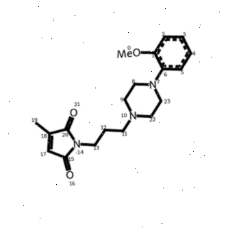 COc1ccccc1N1CCN(CCCN2C(=O)C=C(C)C2=O)CC1